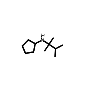 CC(C)C(C)(C)NC1CCCC1